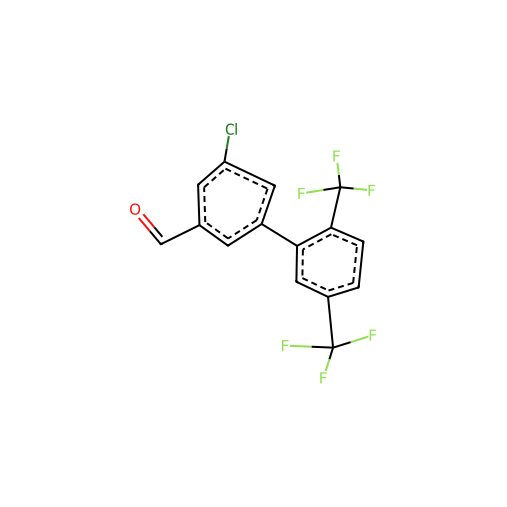 O=Cc1cc(Cl)cc(-c2cc(C(F)(F)F)ccc2C(F)(F)F)c1